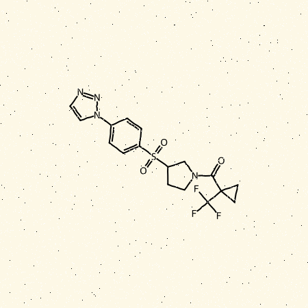 O=C(N1CCC(S(=O)(=O)c2ccc(-n3ccnn3)cc2)C1)C1(C(F)(F)F)CC1